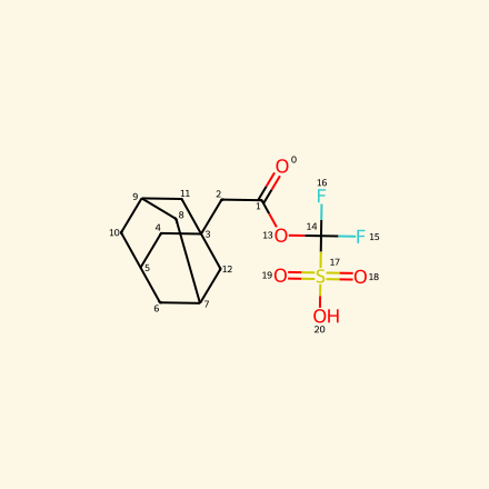 O=C(CC12CC3CC(CC(C3)C1)C2)OC(F)(F)S(=O)(=O)O